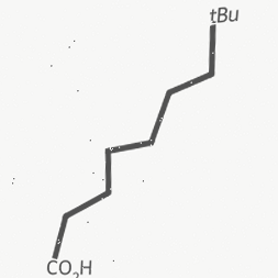 CC(C)(C)CCCCCCC(=O)O